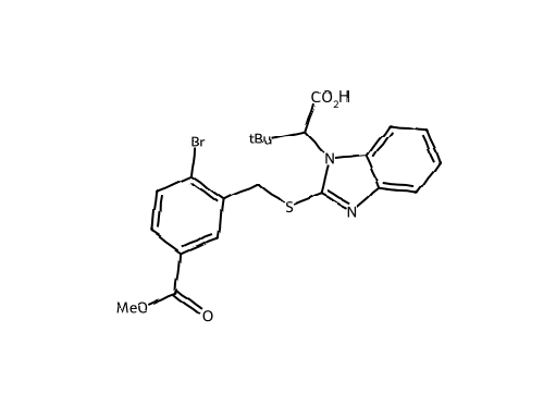 COC(=O)c1ccc(Br)c(CSc2nc3ccccc3n2C(C(=O)O)C(C)(C)C)c1